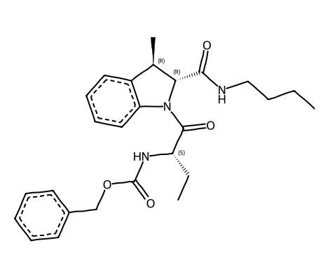 CCCCNC(=O)[C@H]1[C@H](C)c2ccccc2N1C(=O)[C@H](CC)NC(=O)OCc1ccccc1